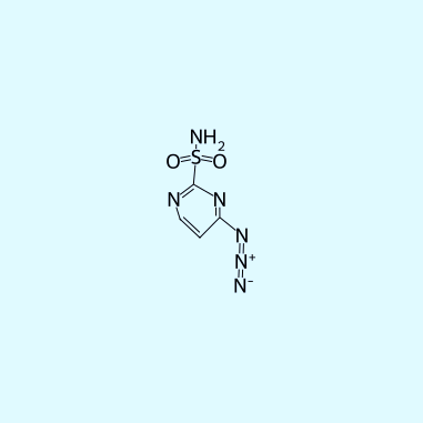 [N-]=[N+]=Nc1ccnc(S(N)(=O)=O)n1